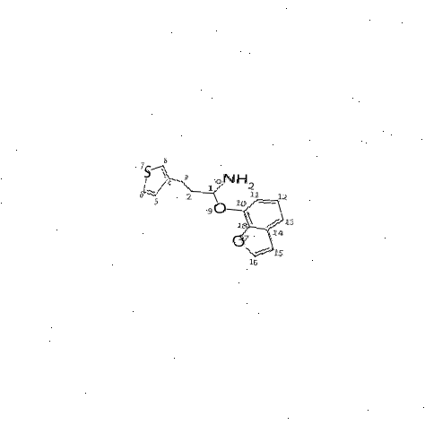 NC(CCc1ccsc1)Oc1cccc2ccoc12